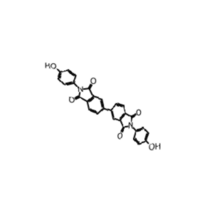 O=C1c2ccc(-c3ccc4c(c3)C(=O)N(c3ccc(O)cc3)C4=O)cc2C(=O)N1c1ccc(O)cc1